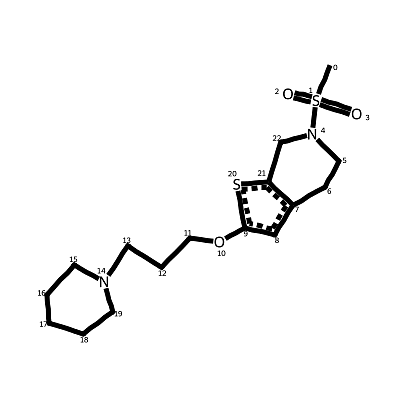 CS(=O)(=O)N1CCc2cc(OCCCN3CCCCC3)sc2C1